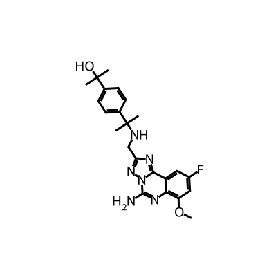 COc1cc(F)cc2c1nc(N)n1nc(CNC(C)(C)c3ccc(C(C)(C)O)cc3)nc21